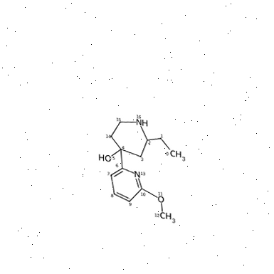 CCC1CC(O)(c2cccc(OC)n2)CCN1